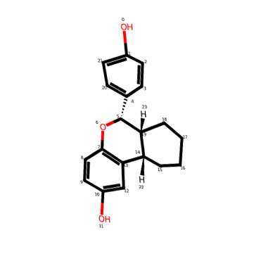 Oc1ccc([C@H]2Oc3ccc(O)cc3[C@H]3CCCC[C@H]32)cc1